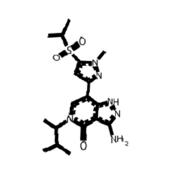 CC(C)C(C)n1cc(-c2cc(S(=O)(=O)C(C)C)n(C)n2)c2[nH]nc(N)c2c1=O